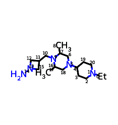 CCN1CCC(N2CC(C)N(CC3CN(N)C3)C(C)C2)CC1